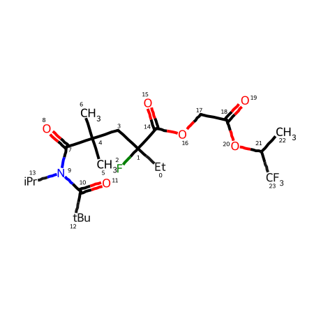 CCC(F)(CC(C)(C)C(=O)N(C(=O)C(C)(C)C)C(C)C)C(=O)OCC(=O)OC(C)C(F)(F)F